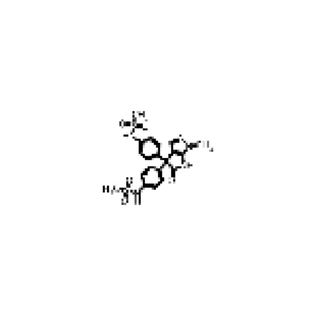 Cn1ncc2c1NC(=O)C2(c1ccc(NS(C)(=O)=O)cc1)c1ccc(NS(C)(=O)=O)cc1